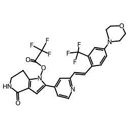 O=C1NCCc2c1cc(-c1ccnc(C=Cc3ccc(N4CCOCC4)cc3C(F)(F)F)c1)n2OC(=O)C(F)(F)F